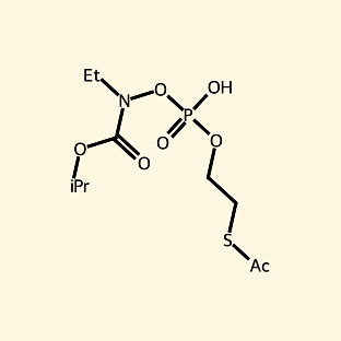 CCN(OP(=O)(O)OCCSC(C)=O)C(=O)OC(C)C